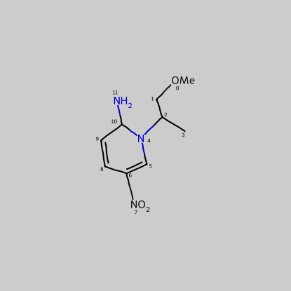 COCC(C)N1C=C([N+](=O)[O-])C=CC1N